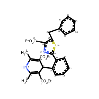 CCOC(=O)C1=C(C)NC(C)=C(C(=O)OCC)C1c1ccccc1-c1nc(C(=O)OCC)c(Cc2ccccc2)s1